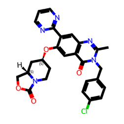 Cc1nc2cc(-c3ncccn3)c(O[C@H]3CCN4C(=O)OC[C@@H]4C3)cc2c(=O)n1Cc1ccc(Cl)cc1